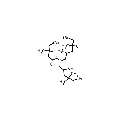 CC(CP(CC(C)CC(C)(C)CC(C)(C)C)CC(C)CC(C)(C)CC(C)(C)C)CC(C)(C)CC(C)(C)C